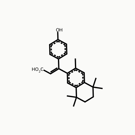 Cc1cc2c(cc1C(=CC(=O)O)c1ccc(O)cc1)C(C)(C)CCC2(C)C